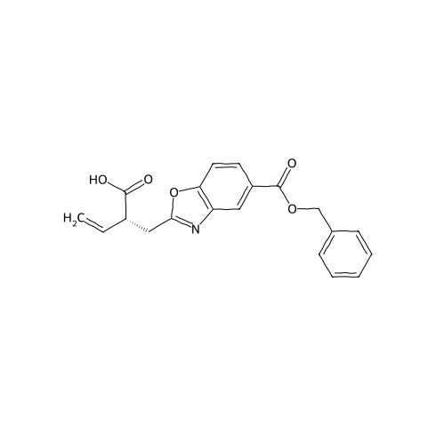 C=C[C@@H](Cc1nc2cc(C(=O)OCc3ccccc3)ccc2o1)C(=O)O